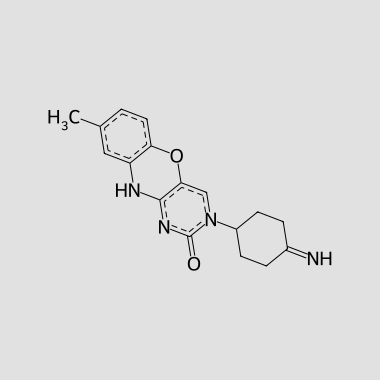 Cc1ccc2c(c1)Nc1nc(=O)n(C3CCC(=N)CC3)cc1O2